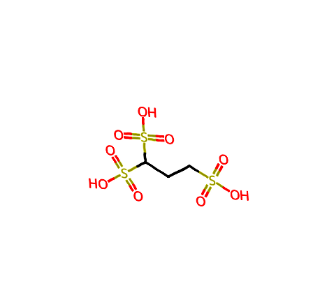 O=S(=O)(O)CCC(S(=O)(=O)O)S(=O)(=O)O